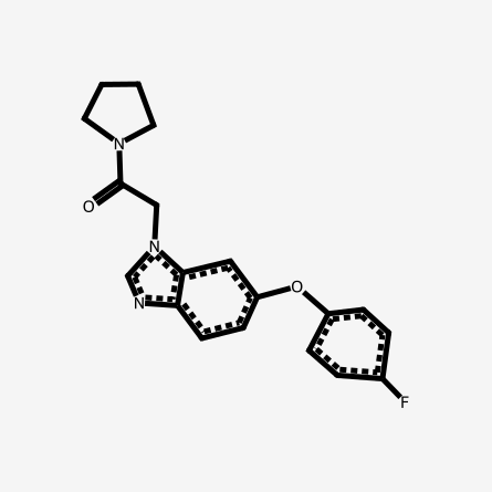 O=C(Cn1cnc2ccc(Oc3ccc(F)cc3)cc21)N1CCCC1